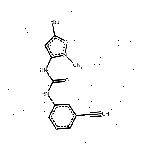 C#Cc1cccc(NC(=O)Nc2cc(C(C)(C)C)nn2C)c1